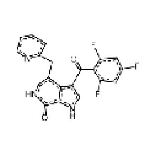 O=C(c1c(F)cc(F)cc1F)c1c[nH]c2c(=O)[nH]cc(Cc3ccccn3)c12